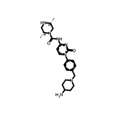 C[C@@H]1CN(C(=O)Nc2ccn(-c3ccc(CN4CCC(N)CC4)cc3)c(=O)n2)[C@H](C)CN1